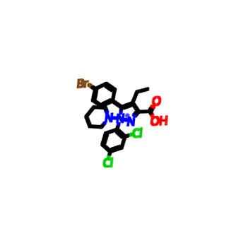 CCC1=C(c2ccc(Br)cc2)[N+](c2ccc(Cl)cc2Cl)(N2CCCCC2)N=C1C(=O)O